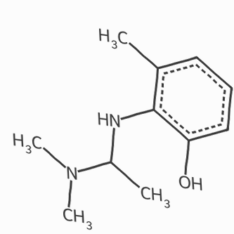 Cc1cccc(O)c1NC(C)N(C)C